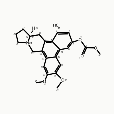 COC(=O)Oc1ccc2c3c(c4cc(OC)c(OC)cc4c2c1)CN1CCC[C@H]1C3.Cl